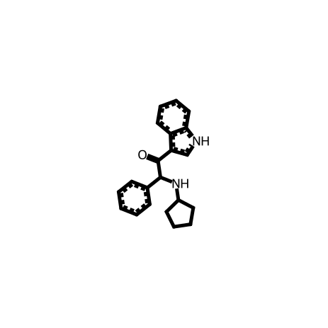 O=C(c1c[nH]c2ccccc12)C(NC1CCCC1)c1ccccc1